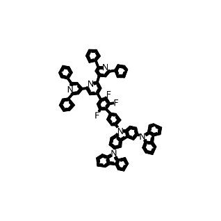 Fc1cc(-c2cc(-c3cc(-c4ccccc4)nc(-c4ccccc4)c3)nc(-c3cc(-c4ccccc4)nc(-c4ccccc4)c3)c2)c(F)c(F)c1-c1ccc(-n2c3ccc(-n4c5ccccc5c5ccccc54)cc3c3cc(-n4c5ccccc5c5ccccc54)ccc32)cc1